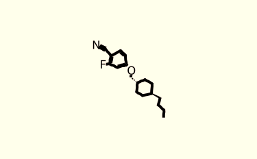 CCCC[C@H]1CC[C@H](COc2ccc(C#N)c(F)c2)CC1